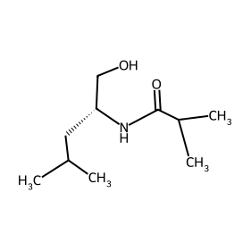 CC(C)C[C@H](CO)NC(=O)C(C)C